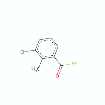 Cc1c(Cl)cccc1C(=O)S